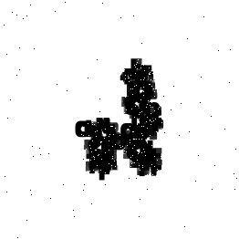 CN(C)C=Cc1nc(C(F)(F)F)ccc1C(=O)O.FC(F)(F)c1ccc2c(Cl)nccc2n1.O=c1[nH]ccc2nc(C(F)(F)F)ccc12